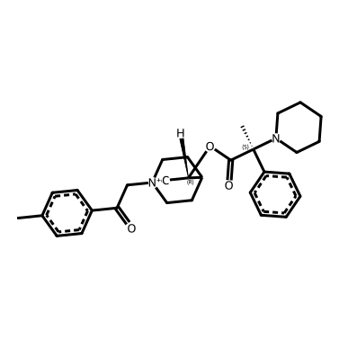 Cc1ccc(C(=O)C[N+]23CCC(CC2)[C@@H](OC(=O)[C@](C)(c2ccccc2)N2CCCCC2)C3)cc1